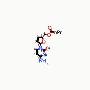 CCCC(=O)OC[C@@H]1C=C[C@H](n2ccc(N)nc2=O)O1